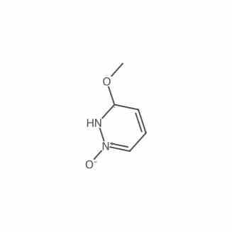 CO[C]1C=CC=[N+]([O-])N1